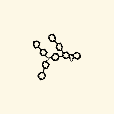 c1ccc(-c2ccc(-c3cc4c(cc3-c3ccc(N(c5ccc(-c6ccccc6)cc5)c5ccc(-c6ccccc6)cc5)cc3)oc3ccccc34)cc2)cc1